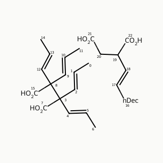 CC=CC(C=CC)(C(=O)O)C(C=CC)(C=CC)C(=O)O.CCCCCCCCCCC=CC(CC(=O)O)C(=O)O